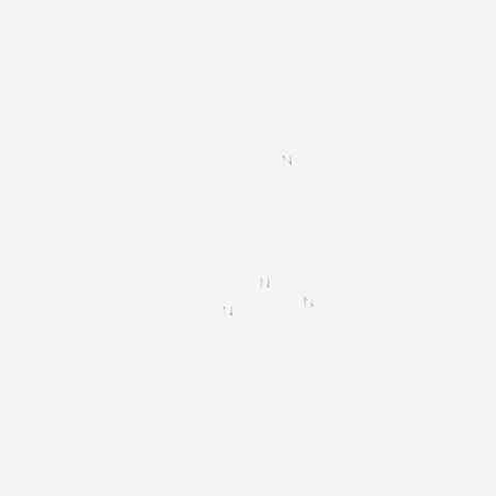 CSc1cc(N)nc(SCCc2cc3ccsc3cn2)n1